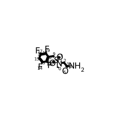 CN(CC(N)=O)S(=O)(=O)Cc1c(F)c(F)cc(F)c1F